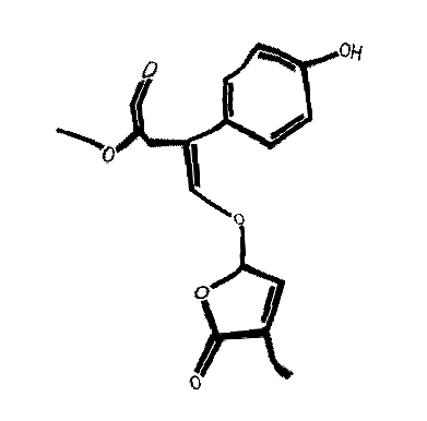 COC(=O)/C(=C/OC1C=C(C)C(=O)O1)c1ccc(O)cc1